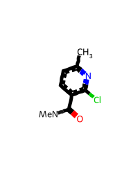 CNC(=O)c1ccc(C)nc1Cl